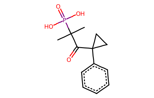 CC(C)(C(=O)C1(c2ccccc2)CC1)P(=O)(O)O